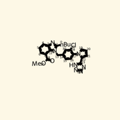 CCCCc1nc2cccc(C(=O)OC)c2n1Cc1ccc(-n2cccc2-c2nnn[nH]2)c(Cl)c1